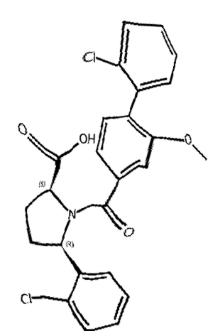 COc1cc(C(=O)N2[C@@H](c3ccccc3Cl)CC[C@H]2C(=O)O)ccc1-c1ccccc1Cl